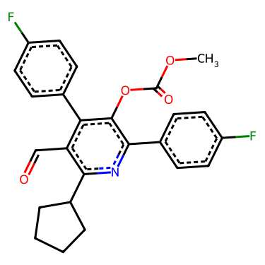 COC(=O)Oc1c(-c2ccc(F)cc2)nc(C2CCCC2)c(C=O)c1-c1ccc(F)cc1